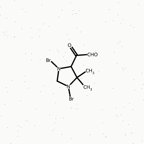 CC1(C)C(C(=O)C=O)N(Br)CN1Br